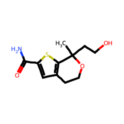 CC1(CCO)OCCc2cc(C(N)=O)sc21